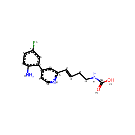 Nc1ccc(F)cc1-c1ccnc(C=CCCNC(=O)O)c1